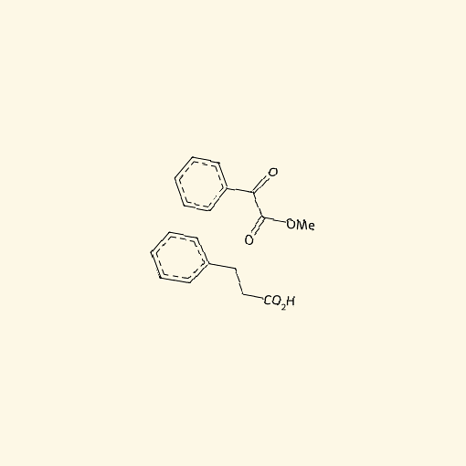 COC(=O)C(=O)c1ccccc1.O=C(O)CCc1ccccc1